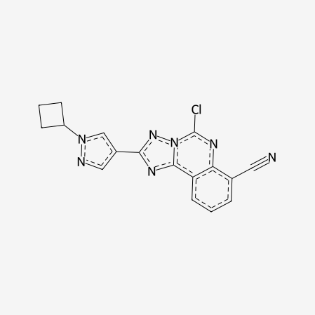 N#Cc1cccc2c1nc(Cl)n1nc(-c3cnn(C4CCC4)c3)nc21